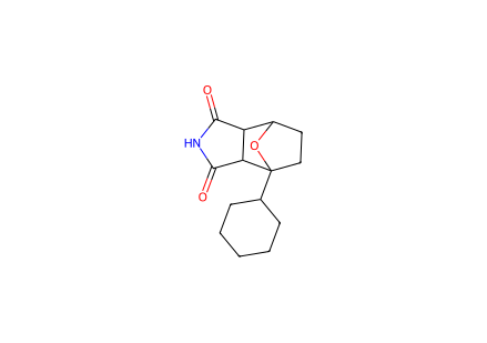 O=C1NC(=O)C2C1C1CCC2(C2CCCCC2)O1